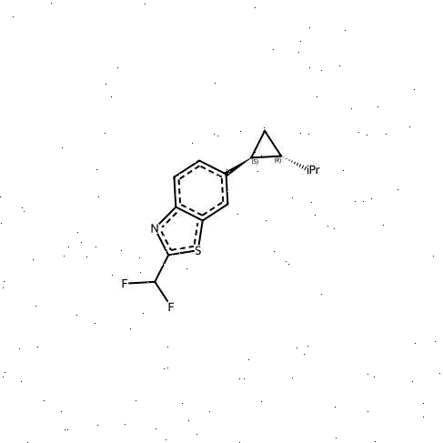 CC(C)[C@H]1C[C@@H]1c1ccc2nc(C(F)F)sc2c1